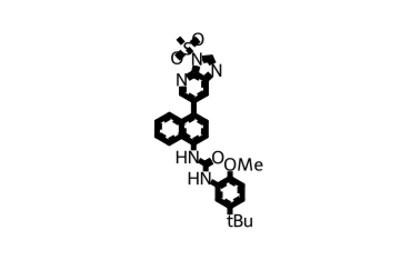 COc1ccc(C(C)(C)C)cc1NC(=O)Nc1ccc(-c2cnc3c(c2)ncn3S(C)(=O)=O)c2ccccc12